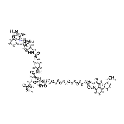 C=Cc1ccccc1CN(C(=O)CCC(=O)NCCOCCOCCOCCOCCC(=O)N[C@H](C(=O)N[C@@H](CCCNC(N)=O)C(=O)Nc1ccc(COC(=O)NCc2ccc(C/C(NCCCC)=C3/C(=N)C(N)=Nc4ccccc43)cc2)cc1)C(C)C)c1ccccc1CC